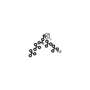 Cn1c(C#N)ccc1-c1ccc(C(=O)c2ccccc2)cc1.[Pd].c1ccc(P(c2ccccc2)c2ccccc2)cc1.c1ccc(P(c2ccccc2)c2ccccc2)cc1.c1ccc(P(c2ccccc2)c2ccccc2)cc1.c1ccc(P(c2ccccc2)c2ccccc2)cc1